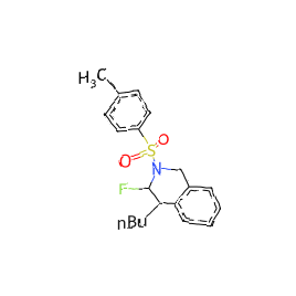 CCCCC1c2ccccc2CN(S(=O)(=O)c2ccc(C)cc2)C1F